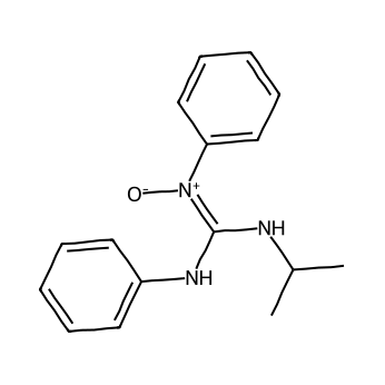 CC(C)N/C(Nc1ccccc1)=[N+](/[O-])c1ccccc1